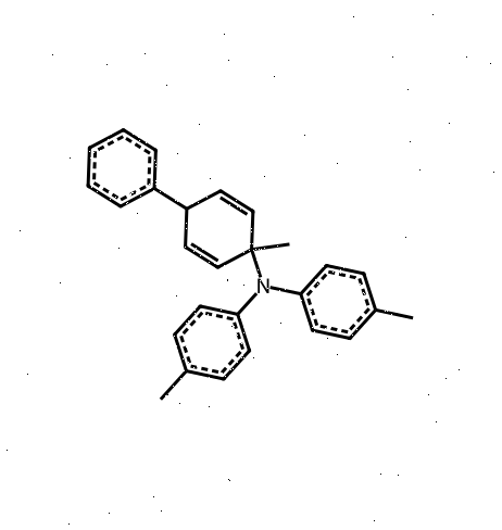 Cc1ccc(N(c2ccc(C)cc2)C2(C)C=CC(c3ccccc3)C=C2)cc1